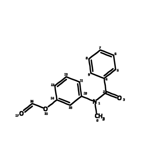 CN(C(=O)c1ccccc1)c1cccc(OC=O)c1